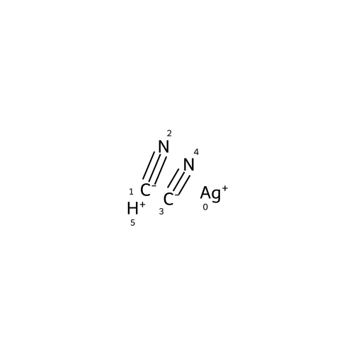 [Ag+].[C-]#N.[C-]#N.[H+]